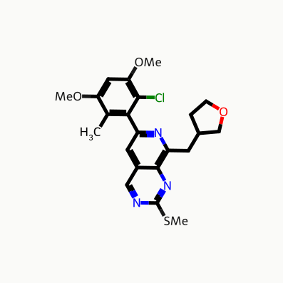 COc1cc(OC)c(Cl)c(-c2cc3cnc(SC)nc3c(CC3CCOC3)n2)c1C